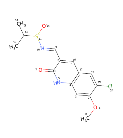 COc1cc2[nH]c(=O)c(/C=N/[S+]([O-])C(C)C)cc2cc1Cl